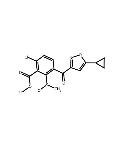 CC(C)OC(=O)c1c(Cl)ccc(C(=O)c2cc(C3CC3)on2)c1[S+](C)[O-]